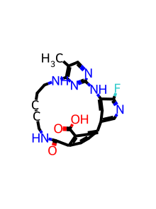 Cc1cnc2nc1NCCCCCNC(=O)c1ccc(cc1C(=O)O)-c1cnc(F)c(c1)N2